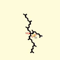 CCS(=O)(=O)/C(=C(/C)CCC=C(C)C)C(O)(CC=C(C)CCC=C(C)CCC=C(C)C)CC=C(C)CCC=C(C)CCC=C(C)C